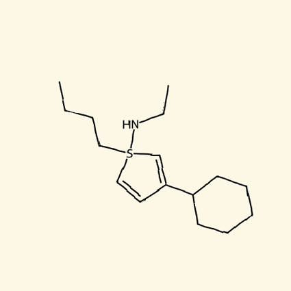 CCCCS1(NCC)C=CC(C2CCCCC2)=C1